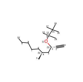 C#C[C@H](C[C@@H](C)CCCCC)O[Si](C)(C)C(C)(C)C